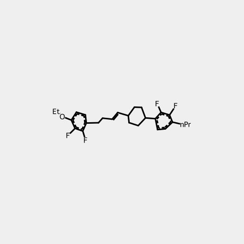 CCCc1ccc(C2CCC(/C=C/CCc3ccc(OCC)c(F)c3F)CC2)c(F)c1F